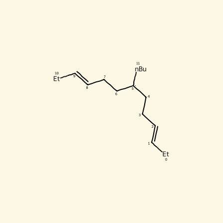 CCC=CCC[C](CCC=CCC)CCCC